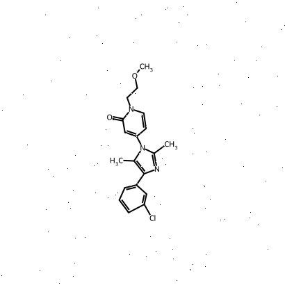 COCCn1ccc(-n2c(C)nc(-c3cccc(Cl)c3)c2C)cc1=O